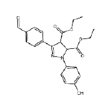 CCOC(=O)C1C(c2ccc(C=O)cc2)=NN(c2ccc(O)cc2)C1C(=O)OCC